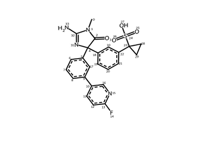 CN1C(=O)C(c2cccc(-c3ccc(F)nc3)c2)(c2cccc(C3(S(=O)(=O)O)CC3)c2)N=C1N